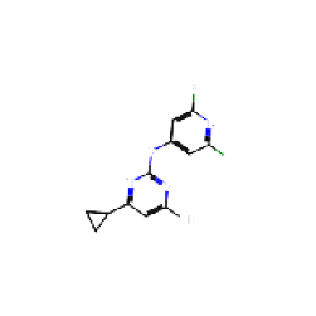 Cc1cc(C2CC2)nc(Nc2cc(F)nc(F)c2)n1